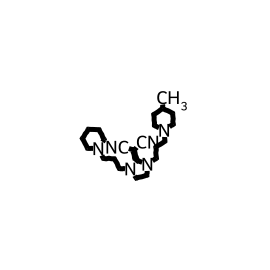 CC1CCN(CCCN2CCN(CCCN3CCCCC3)C2=C(C#N)C#N)CC1